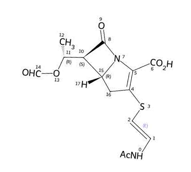 CC(=O)N/C=C/SC1=C(C(=O)O)N2C(=O)[C@H]([C@@H](C)OC=O)[C@H]2C1